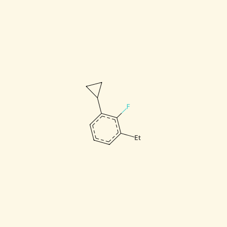 CCc1cccc(C2CC2)c1F